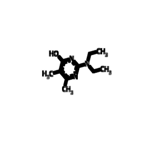 CCN(CC)c1nc(C)c(C)c(O)n1